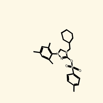 Cc1ccc(S(=O)(=O)OC2=NN(c3c(C)cc(C)cc3C)CN2CC2CCCCC2)cc1